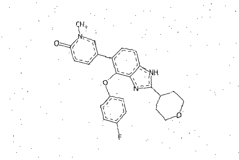 Cn1cc(-c2ccc3[nH]c(C4CCOCC4)nc3c2Oc2ccc(F)cc2)ccc1=O